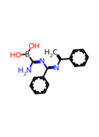 C=C(/N=C(\N=C(/N)B(O)O)c1ccccc1)c1ccccc1